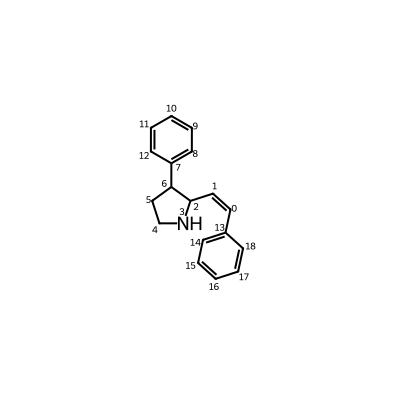 C(=C/C1NCCC1c1ccccc1)/c1ccccc1